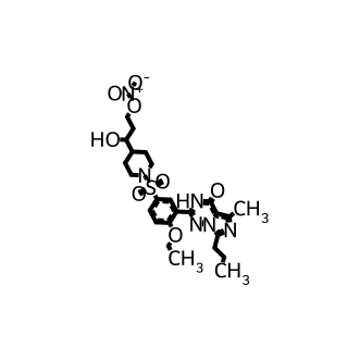 CCCc1nc(C)c2c(=O)[nH]c(-c3cc(S(=O)(=O)N4CCC(C(O)CCO[N+](=O)[O-])CC4)ccc3OCC)nn12